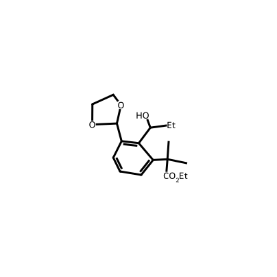 CCOC(=O)C(C)(C)c1cccc(C2OCCO2)c1C(O)CC